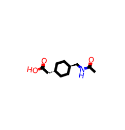 CC(=O)NC[C@H]1CC[C@H](CC(=O)O)CC1